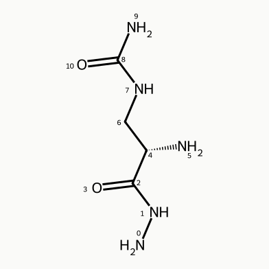 NNC(=O)[C@@H](N)CNC(N)=O